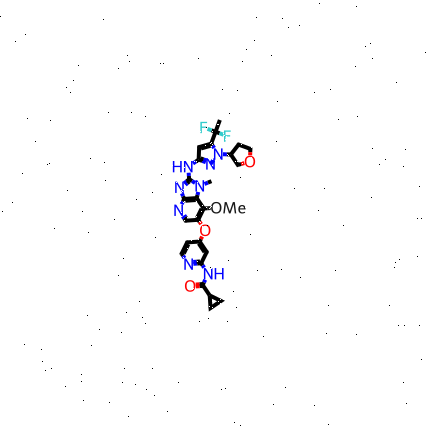 COc1c(Oc2ccnc(NC(=O)C3CC3)c2)cnc2nc(Nc3cc(C(C)(F)F)n(C4CCOC4)n3)n(C)c12